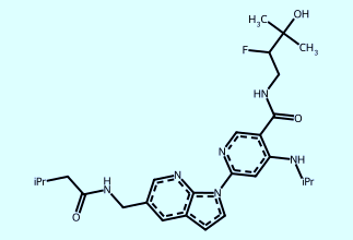 CC(C)CC(=O)NCc1cnc2c(ccn2-c2cc(NC(C)C)c(C(=O)NCC(F)C(C)(C)O)cn2)c1